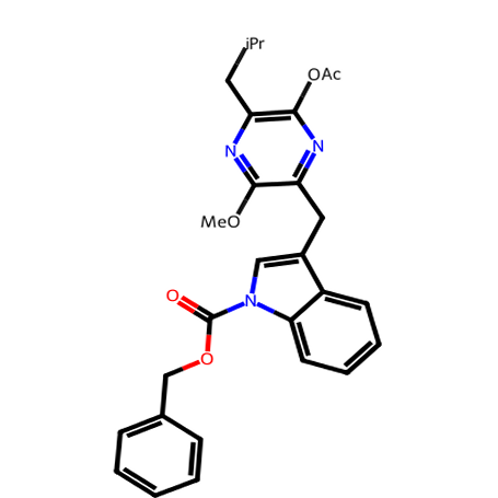 COc1nc(CC(C)C)c(OC(C)=O)nc1Cc1cn(C(=O)OCc2ccccc2)c2ccccc12